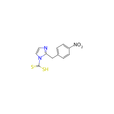 O=[N+]([O-])c1ccc(Cc2nccn2C(=S)S)cc1